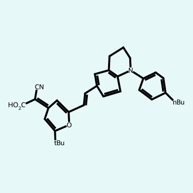 CCCCc1ccc(N2CCCc3cc(/C=C/C4=CC(=C(\C#N)C(=O)O)/C=C(C(C)(C)C)O4)ccc32)cc1